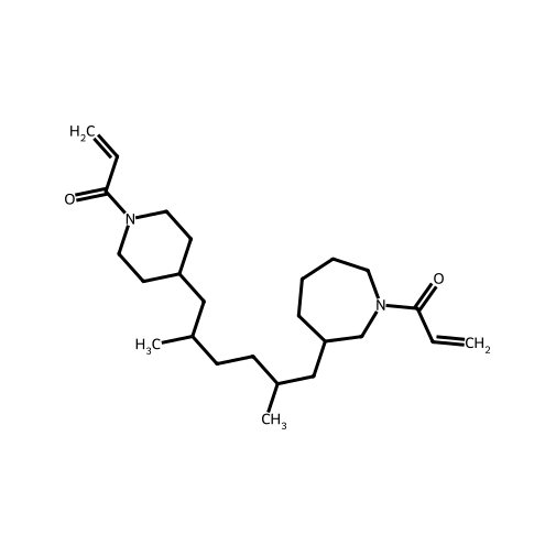 C=CC(=O)N1CCC(CC(C)CCC(C)CC2CCCCN(C(=O)C=C)C2)CC1